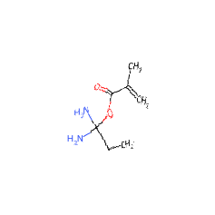 [CH2]CC(N)(N)OC(=O)C(=C)C